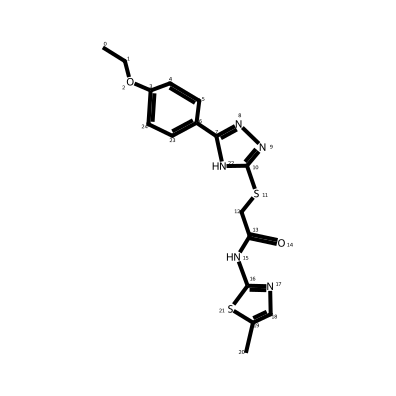 CCOc1ccc(-c2nnc(SCC(=O)Nc3ncc(C)s3)[nH]2)cc1